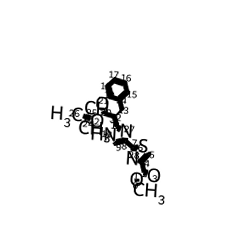 COC(=O)c1csc(-c2c[nH]c([C@H](Cc3ccccc3)C(=O)OC(C)(C)C)n2)n1